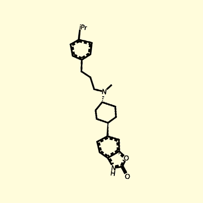 CC(C)c1ccc(CCCN(C)[C@H]2CC[C@H](c3ccc4[nH]c(=O)oc4c3)CC2)cc1